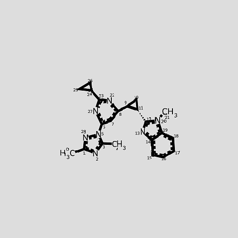 Cc1nc(C)n(-c2cc(C3C[C@@H]3c3nc4ccccc4n3C)nc(C3CC3)n2)n1